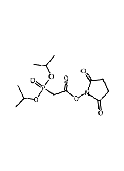 CC(C)OP(=O)(CC(=O)ON1C(=O)CCC1=O)OC(C)C